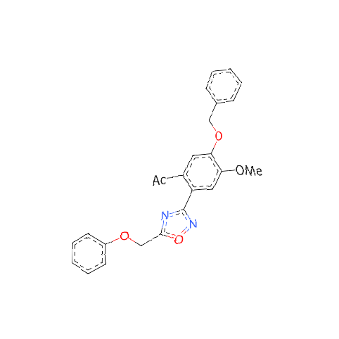 COc1cc(-c2noc(COc3ccccc3)n2)c(C(C)=O)cc1OCc1ccccc1